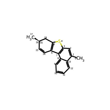 Cc1cc2sc3c(c2c2ccccc12)C=C[C@@H](C)C3